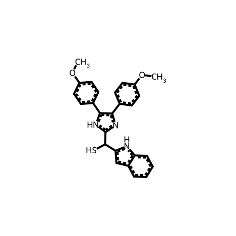 COc1ccc(-c2nc(C(S)c3cc4ccccc4[nH]3)[nH]c2-c2ccc(OC)cc2)cc1